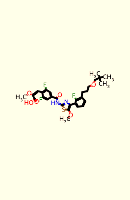 CO/C(=C/c1c(F)cc(C(=O)Nc2nc(-c3cccc(CCCOCC(C)(C)C)c3F)c(OC)s2)cc1F)C(=O)O